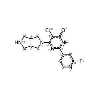 O=c1[nH]c(-c2ccnc(F)c2)nc(N2CC3CNCC3C2)c1Cl